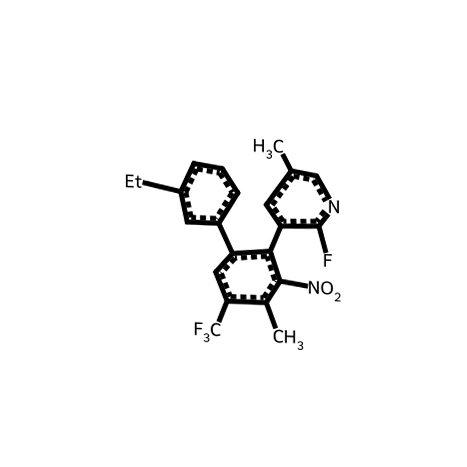 CCc1cccc(-c2cc(C(F)(F)F)c(C)c([N+](=O)[O-])c2-c2cc(C)cnc2F)c1